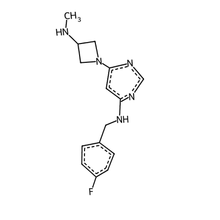 CNC1CN(c2cc(NCc3ccc(F)cc3)ncn2)C1